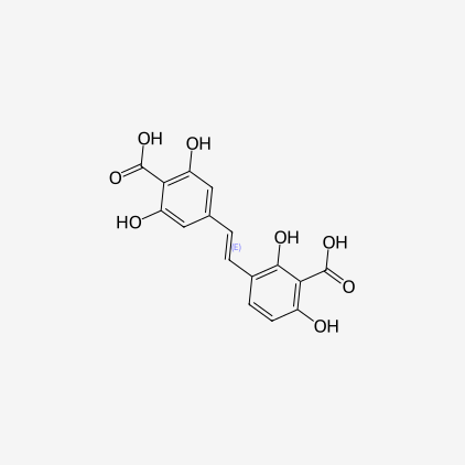 O=C(O)c1c(O)cc(/C=C/c2ccc(O)c(C(=O)O)c2O)cc1O